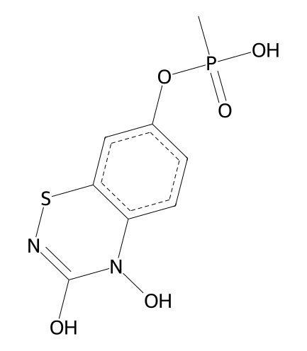 CP(=O)(O)Oc1ccc2c(c1)SN=C(O)N2O